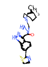 CC1CCC12CCN2CNC(=O)c1n[nH]c2cc(-c3nccs3)ccc12